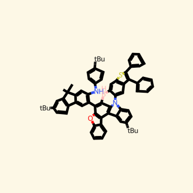 CC(C)(C)c1ccc(Nc2cc3c(cc2-c2c4c5c(c6cc(C(C)(C)C)ccc6n5-c5cc6c(-c7ccccc7)c(-c7ccccc7)sc6cc5B4)c4c2oc2ccccc24)-c2ccc(C(C)(C)C)cc2C3(C)C)cc1